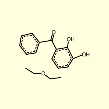 CCOCC.O=C(c1ccccc1)c1cccc(O)c1O